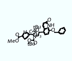 COC(=O)c1ccc(CN(CC(O[Si](C)(C)C(C)(C)C)c2ccc(OCc3ccccc3)c3[nH]c(=O)ccc23)C(=O)OC(C)(C)C)cc1